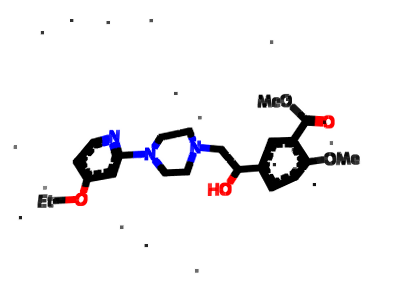 CCOc1ccnc(N2CCN(CC(O)c3ccc(OC)c(C(=O)OC)c3)CC2)c1